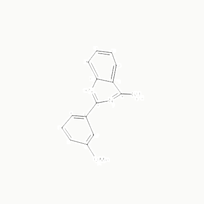 COc1cccc(-c2nc(N)c3ccccc3n2)c1